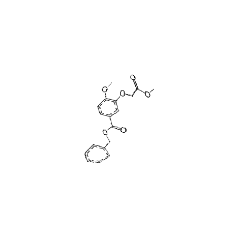 COC(=O)COc1cc(C(=O)OCc2ccccc2)ccc1OC